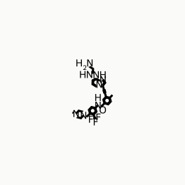 Cc1ccc(C(=O)Nc2ccc(CN3CCN(C)CC3)c(C(F)(F)F)c2)cc1C#Cc1cnc2c(NC(=N)CCN)cccn12